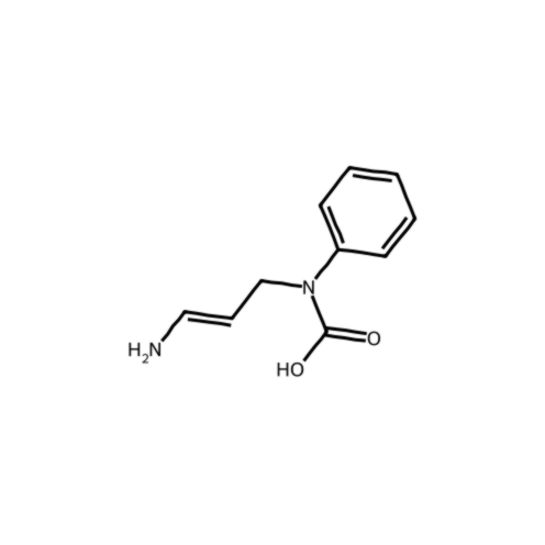 NC=CCN(C(=O)O)c1ccccc1